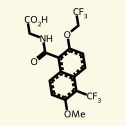 COc1ccc2c(C(=O)NCC(=O)O)c(OCC(F)(F)F)ccc2c1C(F)(F)F